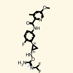 COc1cnc(C(=O)Nc2ccc(F)c([C@H]3C[C@H]3NO/C(N)=N\C(F)F)c2)c(C)c1